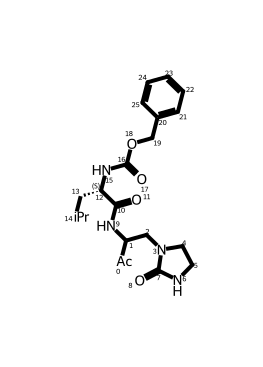 CC(=O)C(CN1CCNC1=O)NC(=O)[C@H](CC(C)C)NC(=O)OCc1ccccc1